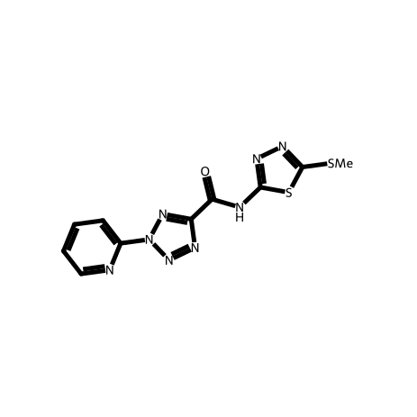 CSc1nnc(NC(=O)c2nnn(-c3ccccn3)n2)s1